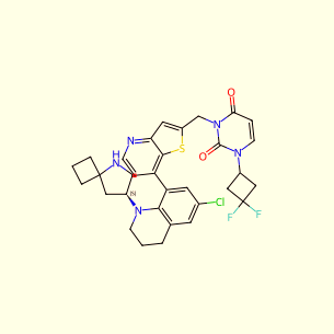 O=c1ccn(C2CC(F)(F)C2)c(=O)n1Cc1cc2nccc(-c3cc(Cl)cc4c3N([C@@H]3CNC5(CCC5)C3)CCC4)c2s1